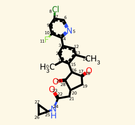 Cc1cc(-c2ncc(Cl)cc2F)cc(C)c1C1C(=O)CC(CC(=O)NC2CC2)C1=O